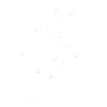 Br.CC(C)(C)c1cc(C(=O)Cn2c(C#N)cn(Cc3ccccc3)c2=N)cc(C(C)(C)C)c1O